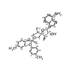 Cc1ccc(OP(=S)(OC[C@@]2(C(F)F)O[C@@H](n3cnc4c(N)ncnc43)[C@H](O)[C@H]2F)Oc2ccc(C)cc2)cc1